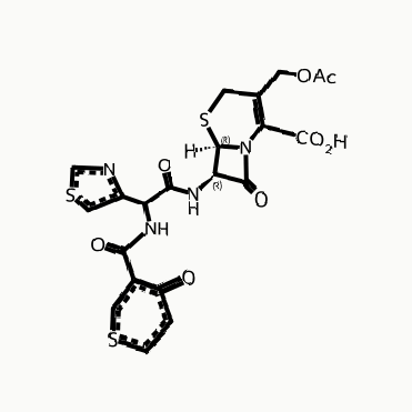 CC(=O)OCC1=C(C(=O)O)N2C(=O)[C@@H](NC(=O)C(NC(=O)c3csccc3=O)c3cscn3)[C@H]2SC1